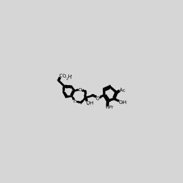 CCCc1c(OCC2(O)COc3ccc(CC(=O)O)cc3OC2)ccc(C(C)=O)c1O